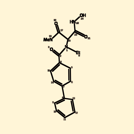 CCN(C(=O)c1ccc(-c2ccccc2)cc1)C(C(=O)NC)C(=O)NO